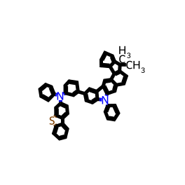 CC1(C)c2ccccc2-c2c1ccc1cc3c(cc21)c1cc(-c2cccc(N(c4ccccc4)c4ccc5c(c4)sc4ccccc45)c2)ccc1n3-c1ccccc1